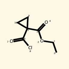 CCOC(=O)C1(C(=O)Cl)CC1